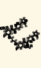 Cn1cccc1-c1ccc(C(=O)Nc2cc(OCCCOc3cc(NC(=O)c4ccc(-c5ccnn5C)nn4)c(C(=O)O)cc3F)c(F)cc2C(=O)O)nn1